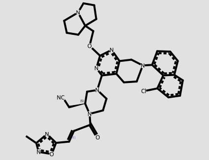 Cc1noc(/C=C/C(=O)N2CCN(c3nc(OCC45CCCN4CCC5)nc4c3CCN(c3cccc5cccc(Cl)c35)C4)C[C@@H]2CC#N)n1